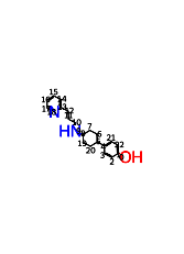 Oc1ccc(C2CCC(NCCCc3ccccn3)CC2)cc1